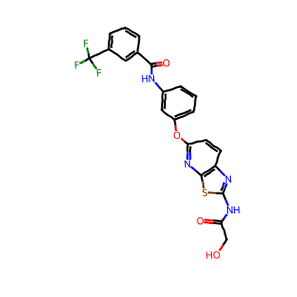 O=C(CO)Nc1nc2ccc(Oc3cccc(NC(=O)c4cccc(C(F)(F)F)c4)c3)nc2s1